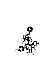 C#CCC(C(=O)NS(=O)(=O)/C=C/c1ccccc1)C(=O)N(c1ccc(F)cc1)C(C)C